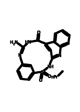 CCCC.NC1=Nc2cccc(c2)S(=O)(=O)Nc2cc(c3ccccc3n2)C(=O)N1